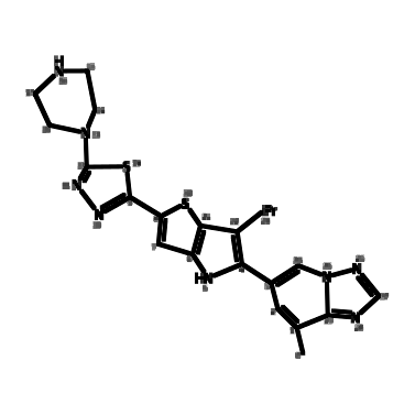 Cc1cc(-c2[nH]c3cc(-c4nnc(N5CCNCC5)s4)sc3c2C(C)C)cn2ncnc12